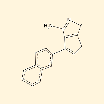 NC1=[N][Y][C]2=C1C(c1ccc3ccccc3c1)=CC2